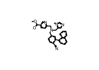 COC(=O)c1ccc(CN(Cc2ccc(C#N)c(-c3cccc4ccccc34)c2)Cc2cncn2C)nc1